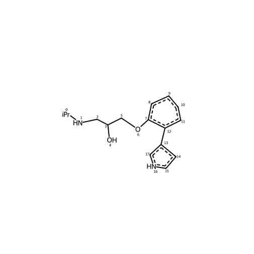 CC(C)NCC(O)COc1ccccc1-c1cc[nH]c1